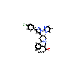 COC(=O)C(CN1CCC(c2cc(-c3ccc(Cl)cc3)nn2-c2ncccn2)CC1)c1ccccc1